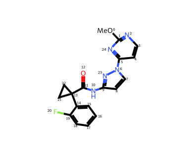 COc1nccc(-n2ccc(NC(=O)C3(c4ccccc4F)CC3)n2)n1